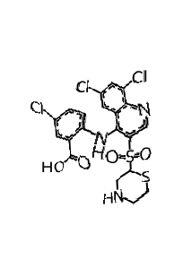 O=C(O)c1cc(Cl)ccc1Nc1c(S(=O)(=O)C2CNCCS2)cnc2c(Cl)cc(Cl)cc12